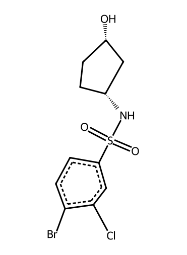 O=S(=O)(N[C@@H]1CC[C@H](O)C1)c1ccc(Br)c(Cl)c1